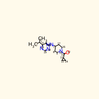 CC(C)c1cc(NC2CCN(C(=O)C3CC3)CC2)ncn1